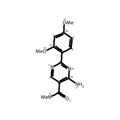 CNC(=O)c1cnc(-c2ccc(OC)cc2OC)nc1N